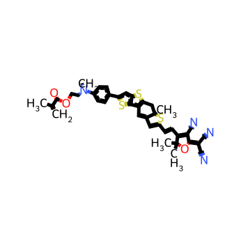 C=C(C)C(=O)OCCN(C)c1ccc(-c2cc3sc4c(c3s2)C=C2C=C(/C=C/C3=C(C#N)C(=C(C#N)C#N)OC3(C)C)SC2(C)C4)cc1